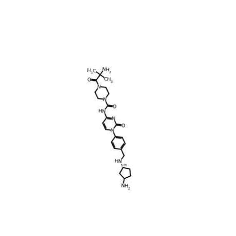 CC(C)(N)C(=O)N1CCN(C(=O)Nc2ccn(-c3ccc(CN[C@@H]4CCC(N)C4)cc3)c(=O)n2)CC1